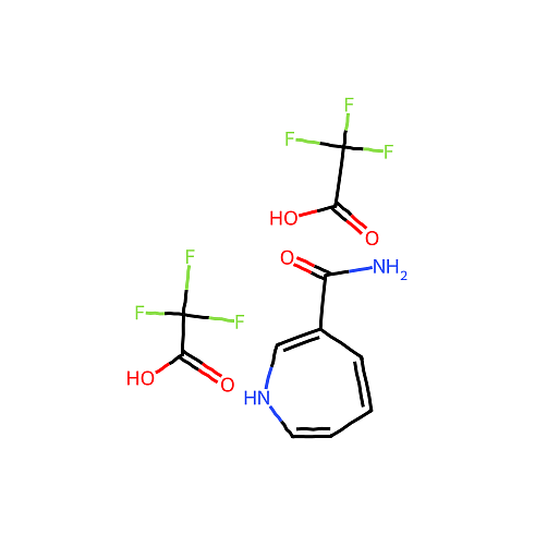 NC(=O)C1=CNC=CC=C1.O=C(O)C(F)(F)F.O=C(O)C(F)(F)F